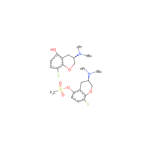 CCCN([C@H]1COc2c(F)ccc(O)c2C1)C(C)(C)C.CCCN([C@H]1COc2c(F)ccc(OS(=O)(=O)C(F)(F)F)c2C1)C(C)(C)C